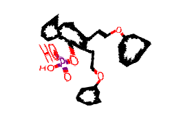 O=P(O)(O)Oc1c(CCOc2ccccc2)c(CCOc2ccccc2)cc2ccccc12